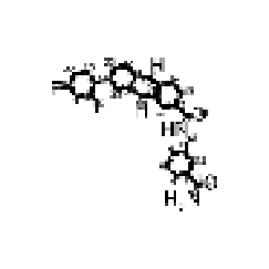 NC(=O)c1cccc(CNC(=O)c2ccc3c(c2)[C@@H]2O[C@H]3c3ccc(-c4ccc(F)cc4F)cc32)c1